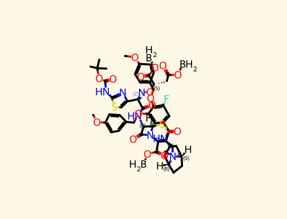 BOC(=O)C[C@H](O/N=C(\C(=O)N[C@@H]1C(=O)N2C(C(=O)OB)=C(C[N+]3(C)[C@@H]4CC[C@H]3C[C@@H](NC(=O)c3cc(F)c(OCc5ccc(OC)cc5)c(OCc5ccc(OC)cc5)c3)C4)CS[C@H]12)c1csc(NC(=O)OC(C)(C)C)n1)C(=O)OB